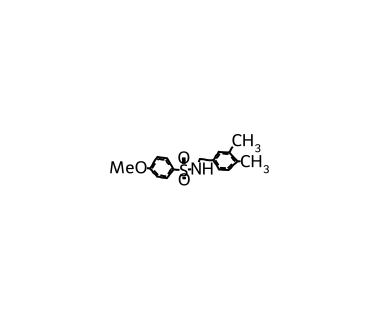 COc1ccc(S(=O)(=O)NCc2ccc(C)c(C)c2)cc1